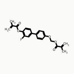 C=C(C)C(=O)OCOc1ccc(-c2ccc(OC(=O)C(=C)C)c(F)c2)cc1